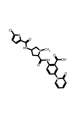 CN1CC(NC(=O)c2ccc(Cl)s2)CC1C(=O)Nc1ccc(-n2ccccc2=O)cc1C(=O)O